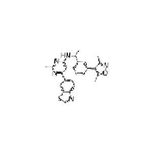 Cc1nc(NC(C)c2cccc(-c3c(C)noc3C)c2)cc(-c2ccc3ncsc3c2)n1